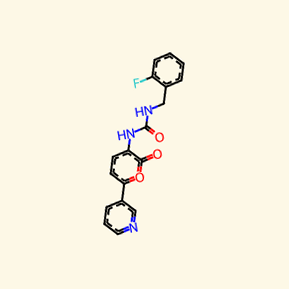 O=C(NCc1ccccc1F)Nc1ccc(-c2cccnc2)oc1=O